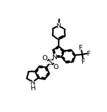 CN1CC=C(c2cn(S(=O)(=O)c3ccc4c(c3)CCN4)c3ccc(C(F)(F)F)cc23)CC1